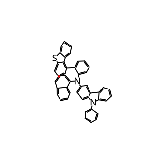 c1ccc(-n2c3ccccc3c3cc(N(c4ccccc4-c4cccc5sc6ccccc6c45)c4cccc5ccccc45)ccc32)cc1